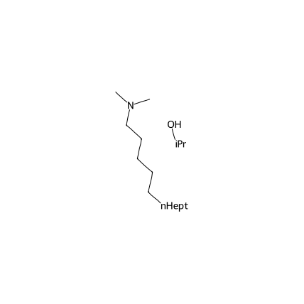 CCCCCCCCCCCCN(C)C.[CH2]C(C)O